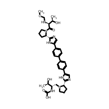 COCN[C@H](C(=O)N1CCC[C@H]1c1ncc(-c2ccc(-c3ccc(-c4cnc([C@@H]5CCCN5C[C@H](NC(=O)O)[C@@H](C)O)[nH]4)cc3)cc2)[nH]1)[C@@H](C)O